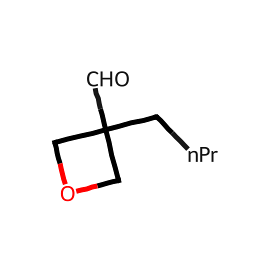 CCCCC1(C=O)COC1